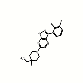 CC1(CN)CCN(c2cnc3c(-c4cccc(F)c4Cl)n[nH]c3n2)CC1